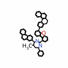 CC1CC(c2ccccc2)=NC(c2cccc3oc4c(-c5ccc6c(c5)CCc5ccc7ccccc7c5-6)cccc4c23)=NC1c1ccc2c(ccc3ccccc32)c1